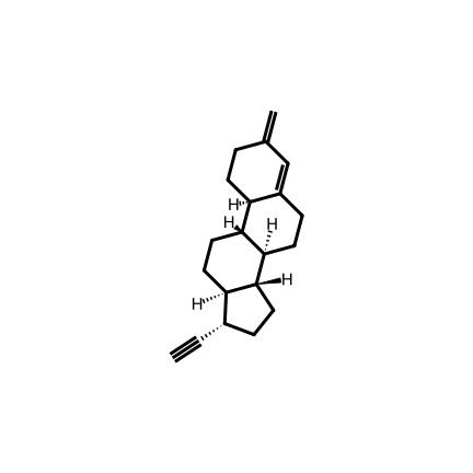 C#C[C@H]1CC[C@H]2[C@@H]3CCC4=CC(=C)CC[C@@H]4[C@H]3CC[C@@H]21